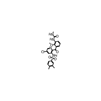 CNC(=O)Nc1cccc(C(=O)c2ncc(Cl)cc2NS(=O)(=O)c2ccc(C)c(C)c2)c1OC